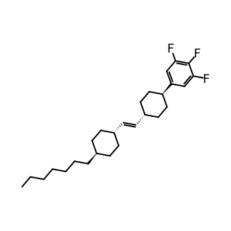 CCCCCCC[C@H]1CC[C@H](C=C[C@H]2CC[C@H](c3cc(F)c(F)c(F)c3)CC2)CC1